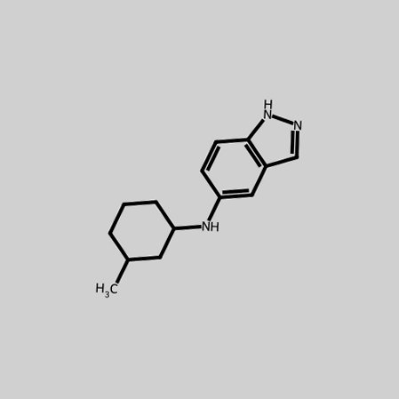 CC1CCCC(Nc2ccc3[nH]ncc3c2)C1